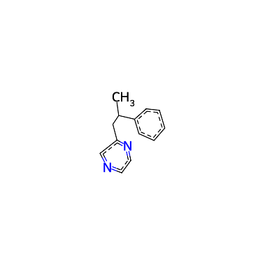 CC(Cc1cnccn1)c1ccccc1